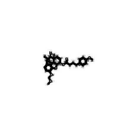 COCOc1ccc2c3c1OC1[C@@H](OC(=O)CCCc4ccc(OC)cc4)C=C[C@H]4[C@@H](C2)N(C)CC[C@]314